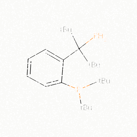 CC(C)(C)P(c1ccccc1C(P)(C(C)(C)C)C(C)(C)C)C(C)(C)C